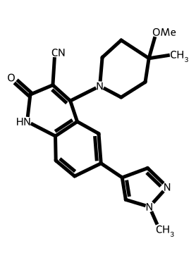 COC1(C)CCN(c2c(C#N)c(=O)[nH]c3ccc(-c4cnn(C)c4)cc23)CC1